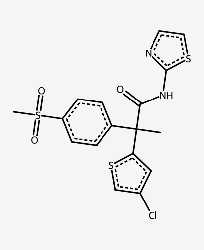 CC(C(=O)Nc1nccs1)(c1ccc(S(C)(=O)=O)cc1)c1cc(Cl)cs1